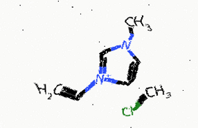 C=C[n+]1ccn(C)c1.CCl